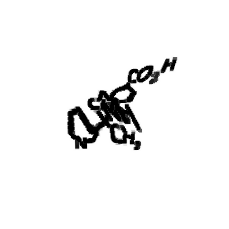 CC(C)(Nc1ccc(C(=O)O)cn1)c1cccnc1